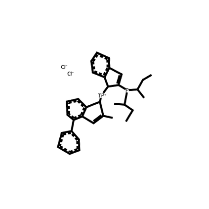 CCC(C)P(C1=Cc2ccccc2[CH]1[Ti+2][CH]1C(C)=Cc2c(-c3ccccc3)cccc21)C(C)CC.[Cl-].[Cl-]